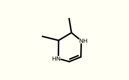 CC1NC=CNC1C